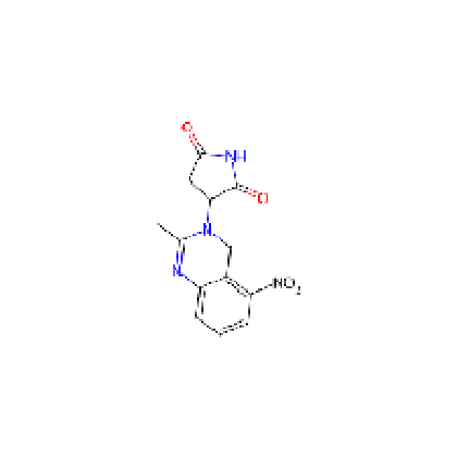 CC1=Nc2cccc([N+](=O)[O-])c2CN1C1CC(=O)NC1=O